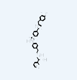 O=S(=O)(Nc1ccc(CCNCC(O)c2cccnc2)cc1)c1ccc(-c2nc(Cc3ccc(F)c(F)c3)cs2)cc1